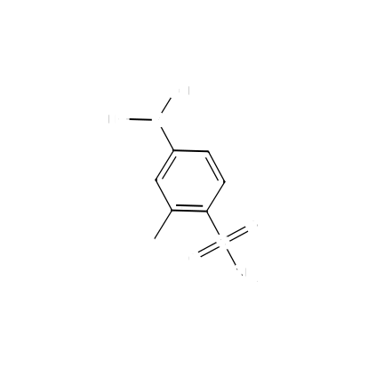 Cc1cc(B(O)O)ccc1S(N)(=O)=O